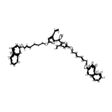 CCc1cc(OCCCCCCOc2ccc3ccccc3c2)oc1C(=O)c1oc(OCCCCCCOc2ccc3ccccc3c2)cc1CC